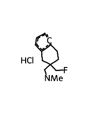 CNCC1(CF)CCc2ccccc2C1.Cl